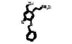 CCOC(=O)CCn1cc(OCc2ccccc2)c(=O)cc1CO